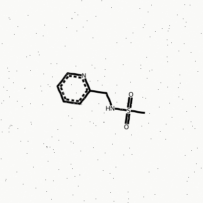 CS(=O)(=O)NCc1ccccn1